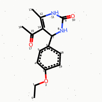 CCOc1ccc(C2NC(=O)NC(C)=C2C(C)=O)cc1